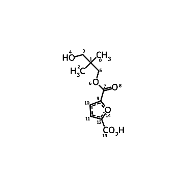 CC(C)(CO)COC(=O)c1ccc(C(=O)O)o1